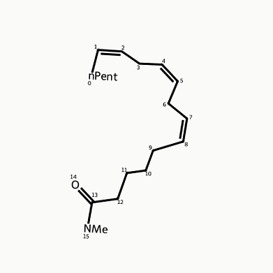 CCCCC/C=C\C/C=C\C/C=C\CCCCC(=O)NC